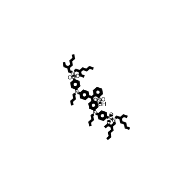 CCCCC(CC)CN(CC(CC)CCCC)S(=O)(=O)c1ccc(N(CCCC)c2ccc(C(c3ccc(N(CCCC)c4ccc(S(=O)(=O)N(CC(CC)CCCC)CC(CC)CCCC)cc4)cc3)c3ccccc3S(=O)(=O)O)cc2)cc1